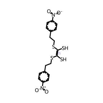 O=[N+]([O-])c1ccc(CCS/C(S)=C(/S)SCCc2ccc([N+](=O)[O-])cc2)cc1